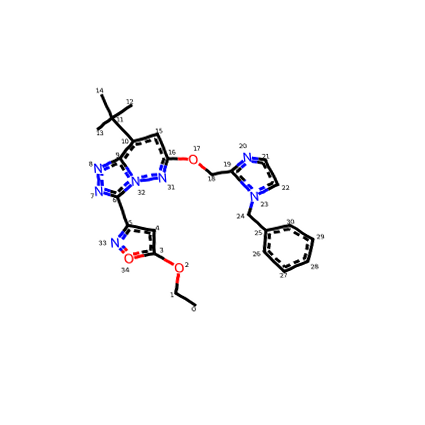 CCOc1cc(-c2nnc3c(C(C)(C)C)cc(OCc4nccn4Cc4ccccc4)nn23)no1